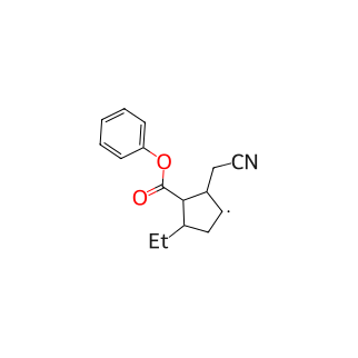 [CH2]CC1C[CH]C(CC#N)C1C(=O)Oc1ccccc1